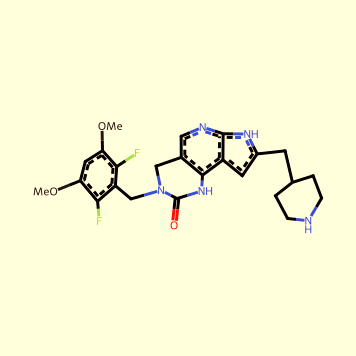 COc1cc(OC)c(F)c(CN2Cc3cnc4[nH]c(CC5CCNCC5)cc4c3NC2=O)c1F